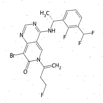 C=C(CCF)n1cc2c(N[C@H](C)c3cccc(C(F)F)c3F)ncnc2c(Br)c1=O